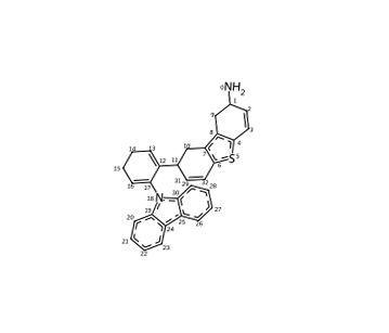 NC1C=Cc2sc3c(c2C1)CC(C1=CCCC=C1n1c2ccccc2c2ccccc21)C=C3